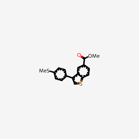 COC(=O)c1ccc2scc(-c3ccc(SC)cc3)c2c1